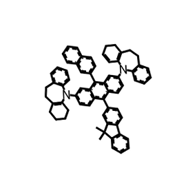 CC1(C)c2ccccc2-c2ccc(-c3c4ccc(N5C6=C(CCC=C6)CCc6ccccc65)cc4c(-c4ccc5ccccc5c4)c4cc(N5C6=C(CCCC6)CCc6ccccc65)ccc34)cc21